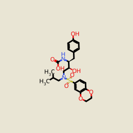 CC(C)CN(C[C@H](O)[C@H](Cc1ccc(O)cc1)NC(=O)O)S(=O)(=O)c1ccc2c(c1)OCCO2